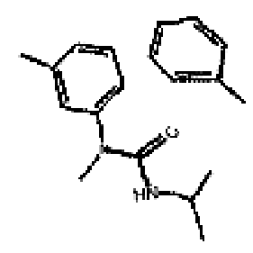 Cc1cccc(N(C)C(=O)NC(C)C)c1.Cc1ccccc1